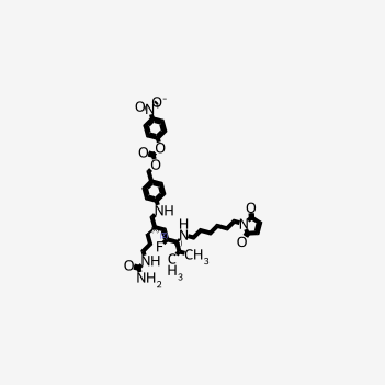 CC(C)[C@H](NCCCCCCN1C(=O)C=CC1=O)/C(F)=C/[C@@H](CCCNC(N)=O)CNc1ccc(COC(=O)Oc2ccc([N+](=O)[O-])cc2)cc1